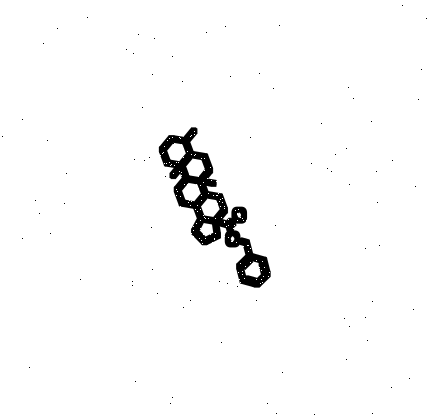 CC1CCCC2(C)C1CCC1(C)C3CCC4(C(=O)OCc5ccccc5)CCCC4C3CCC21